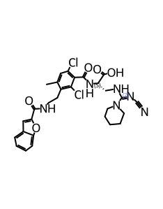 Cc1cc(Cl)c(C(=O)N[C@@H](CN/C(=N/C#N)N2CCCCC2)C(=O)O)c(Cl)c1CCNC(=O)c1cc2ccccc2o1